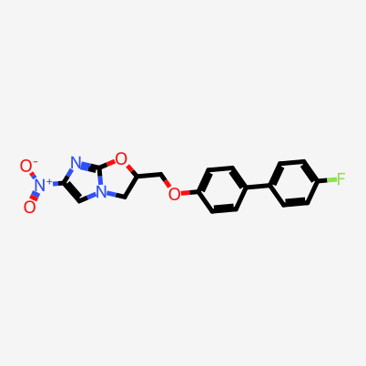 O=[N+]([O-])c1cn2c(n1)OC(COc1ccc(-c3ccc(F)cc3)cc1)C2